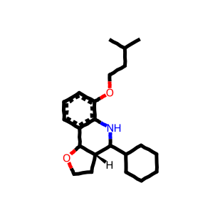 CC(C)CCOc1cccc2c1NC(C1CCCCC1)[C@@H]1CCOC21